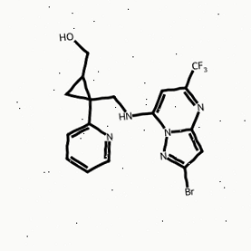 OCC1CC1(CNc1cc(C(F)(F)F)nc2cc(Br)nn12)c1ccccn1